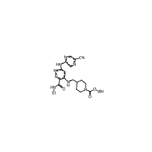 CCNC(=O)c1nnc(Nc2cnc(C#N)cn2)cc1NCC1CCN(C(=O)OC(C)(C)C)CC1